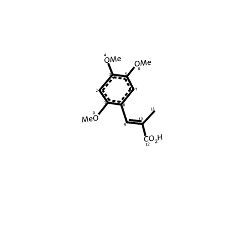 COc1cc(OC)c(OC)cc1C=C(C)C(=O)O